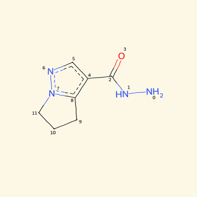 NNC(=O)c1cnn2c1CCC2